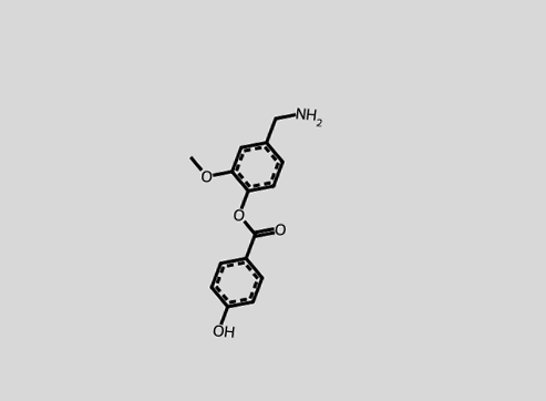 COc1cc(CN)ccc1OC(=O)c1ccc(O)cc1